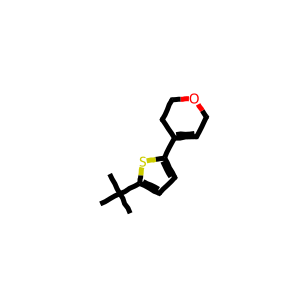 CC(C)(C)c1ccc(C2=CCOCC2)s1